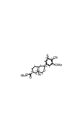 COc1cc([C@@H]2CN3CCN(C(=O)OC(C)(C)C)C[C@H]3CO2)cc(F)c1C#N